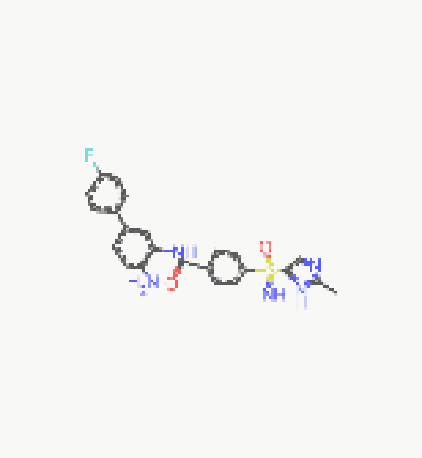 Cc1ncc(S(=N)(=O)c2ccc(C(=O)Nc3cc(-c4ccc(F)cc4)ccc3N)cc2)[nH]1